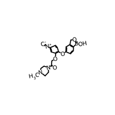 [C-]#[N+]c1ccc(Oc2ccc3c(c2)COB3O)c(OCC(=O)N2CCN(C)CC2)c1